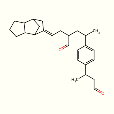 CC(CC=O)c1ccc(C(C)CC(C=O)C/C=C2\CC3CC2C2CCCC32)cc1